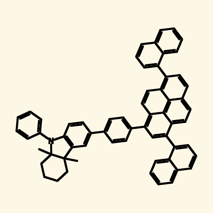 CC12CCCCC1(C)N(c1ccccc1)c1ccc(-c3ccc(-c4cc(-c5cccc6ccccc56)c5ccc6ccc(-c7cccc8ccccc78)c7ccc4c5c67)cc3)cc12